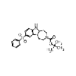 CC(C)(C)OC(=O)N1CCC2Nc3ccc(S(=O)(=O)c4ccccc4)cc3C2CC1